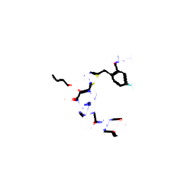 C=C1CN(C(=O)Cn2ccn3c(=O)c(OCCCC)c(-c4ncc(Cc5ccc(F)cc5C(N)=O)s4)nc23)C[C@H](C)O1